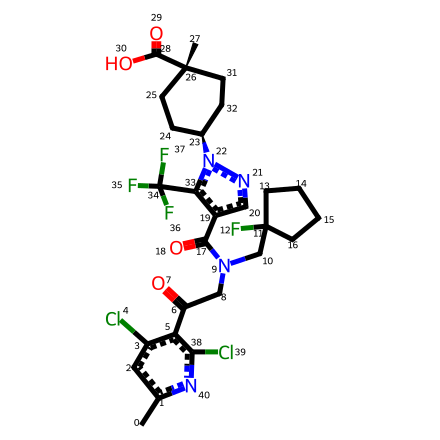 Cc1cc(Cl)c(C(=O)CN(CC2(F)CCCC2)C(=O)c2cnn([C@H]3CC[C@](C)(C(=O)O)CC3)c2C(F)(F)F)c(Cl)n1